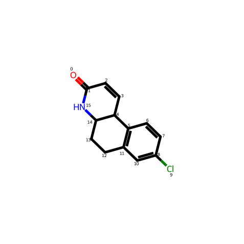 O=C1C=CC2c3ccc(Cl)cc3CCC2N1